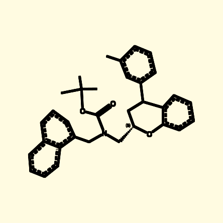 Cc1cccc(C2C[C@@H](CN(Cc3cccc4ccccc34)C(=O)OC(C)(C)C)Oc3ccccc32)c1